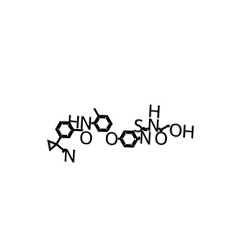 Cc1ccc(Oc2ccc3nc(NC(=O)CO)sc3c2)cc1NC(=O)c1cccc(C2(C#N)CC2)c1